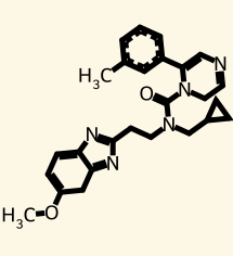 COC1=CC=C2N=C(CCN(CC3CC3)C(=O)N3CC=NC=C3c3cccc(C)c3)N=C2C1